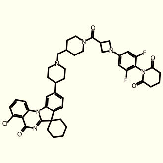 O=C(C1CN(c2cc(F)c(N3C(=O)CCCC3=O)c(F)c2)C1)N1CCC(CN2CCC(c3ccc4c(c3)-n3c(nc(=O)c5c(Cl)cccc53)C43CCCCC3)CC2)CC1